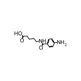 Nc1ccc(C(=O)NCCCCC(=O)O)cc1